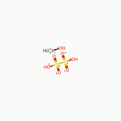 O=S(=O)(O)O.O=S(=O)(O)S(=O)(=O)O